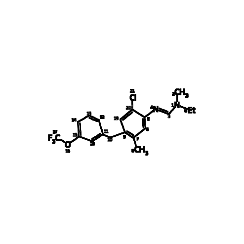 CCN(C)C=Nc1cc(C)c(Cc2cccc(OC(F)(F)F)c2)cc1Cl